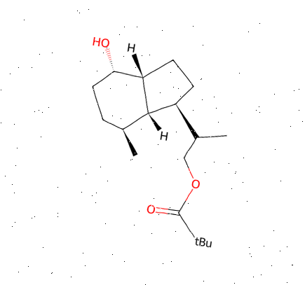 CC(COC(=O)C(C)(C)C)[C@@H]1CC[C@@H]2[C@H]1[C@@H](C)CC[C@@H]2O